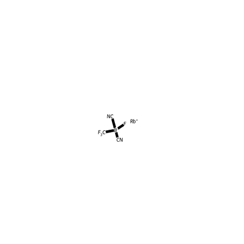 N#C[B-](F)(C#N)C(F)(F)F.[Rb+]